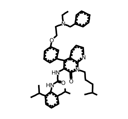 CCN(CCOc1cccc(-c2c(NC(=O)Nc3c(C(C)C)cccc3C(C)C)c(=O)n(CCCC(C)C)c3ncccc23)c1)Cc1ccccc1